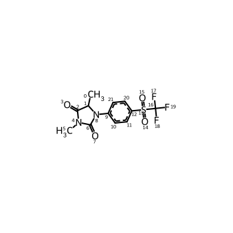 CC1C(=O)N(C)C(=O)N1c1ccc(S(=O)(=O)C(F)(F)F)cc1